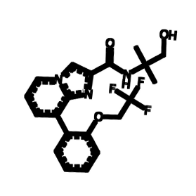 CC(C)(CO)NC(=O)c1cn2cccc(-c3ccccc3OCC(F)(F)F)c2n1